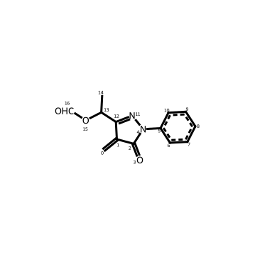 C=C1C(=O)N(c2ccccc2)N=C1C(C)OC=O